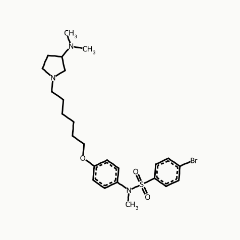 CN(C)C1CCN(CCCCCCOc2ccc(N(C)S(=O)(=O)c3ccc(Br)cc3)cc2)C1